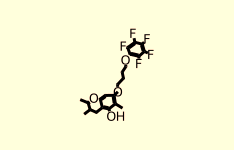 CC(=O)C(C)Cc1ccc(OCCCCOc2c(F)c(F)c(F)c(F)c2F)c(C)c1O